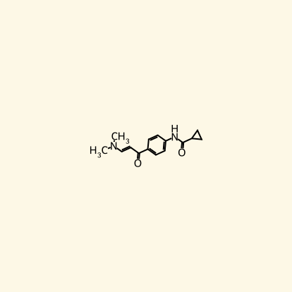 CN(C)C=CC(=O)c1ccc(NC(=O)C2CC2)cc1